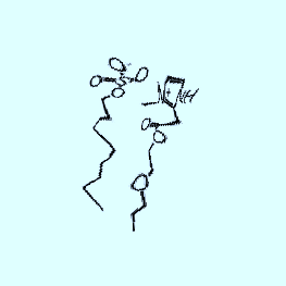 CCCCCCCCOS(=O)(=O)[O-].CCCOCCOC(=O)Cc1[nH]cc[n+]1C